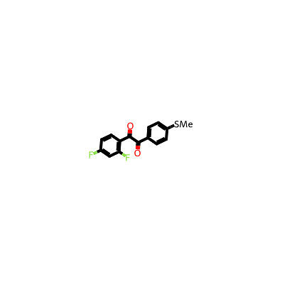 CSc1ccc(C(=O)C(=O)c2ccc(F)cc2F)cc1